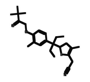 CCC(CC)(c1ccc(OCC(=O)C(C)(C)C)c(C)c1)C1CC(C)=C(CC#N)S1